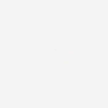 CC1CCc2c(c3cc(Cl)ccc3n2CC(=O)OC(C)(C)C)C1